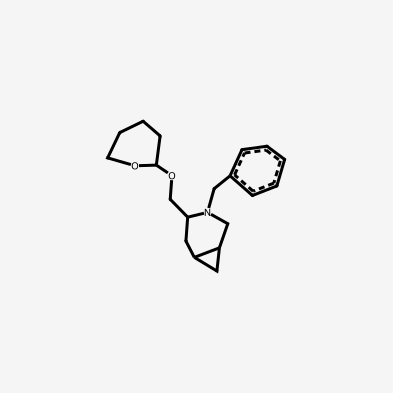 c1ccc(CN2CC3CC3CC2COC2CCCCO2)cc1